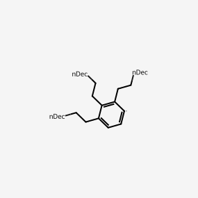 CCCCCCCCCCCCc1[c]ccc(CCCCCCCCCCCC)c1CCCCCCCCCCCC